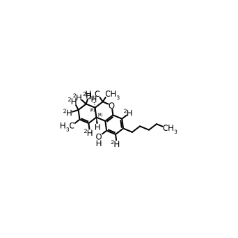 [2H]C1=C(C)C([2H])([2H])C([2H])([2H])[C@]2([2H])[C@@H]1c1c(O)c([2H])c(CCCCC)c([2H])c1OC2(C)C